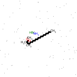 Br.CCCCCCCCCCCCCCCCCCC(C)=C(C)C(=O)OC.N